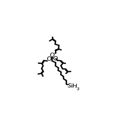 CC(C)=CCCC(C)=CCOC(CCCCCCCCCCC[SiH3])(OCC=C(C)CCC=C(C)C)OCC=C(C)CCC=C(C)C